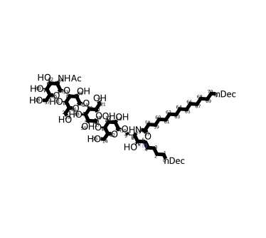 CCCCCCCCCCCCC/C=C/[C@@H](O)[C@H](CO[C@@H]1OC(CO)[C@@H](O[C@@H]2OC(CO)[C@H](O[C@@H]3OC(CO)[C@H](O)[C@H](O[C@@H]4OC(CO)[C@H](O)[C@H](O)C4NC(C)=O)C3O)[C@H](O)C2O)[C@H](O)C1O)NC(=O)CCCCCCCCCCCCCCCCCCCCCCC